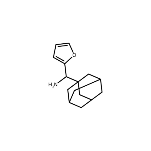 NC(c1ccco1)C12CC3CC(CC(C3)C1)C2